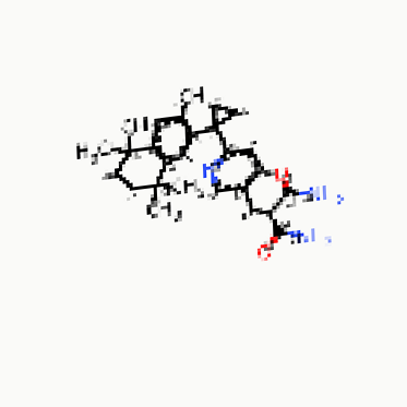 Cc1cc2c(cc1C1(c3ccc(CC(C(N)=O)C(N)=O)cn3)CC1)C(C)(C)CCC2(C)C